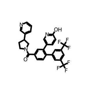 O=C(c1ccc(-c2cc(C(F)(F)F)cc(C(F)(F)F)c2)c(-c2ccc(O)nc2)c1)N1CCC(c2cccnc2)C1